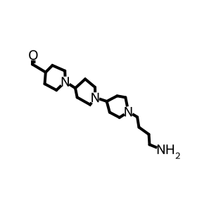 NCCCCN1CCC(N2CCC(N3CCC(C=O)CC3)CC2)CC1